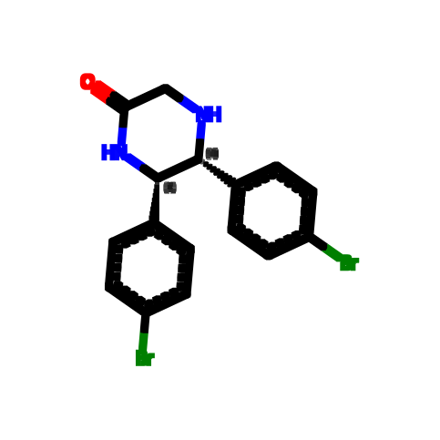 O=C1CN[C@H](c2ccc(Br)cc2)[C@H](c2ccc(Br)cc2)N1